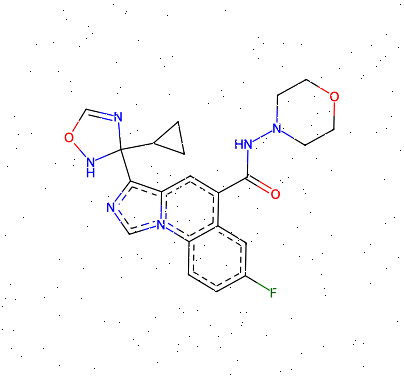 O=C(NN1CCOCC1)c1cc2c(C3(C4CC4)N=CON3)ncn2c2ccc(F)cc12